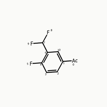 CC(=O)c1ccc(F)c(C(F)F)c1